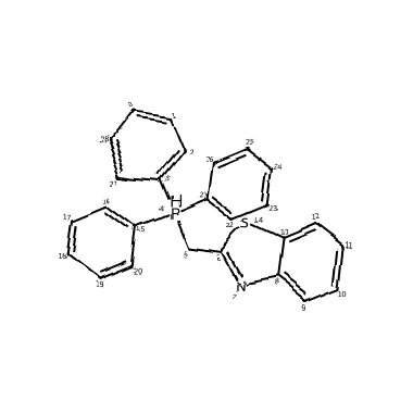 c1ccc([PH](Cc2nc3ccccc3s2)(c2ccccc2)c2ccccc2)cc1